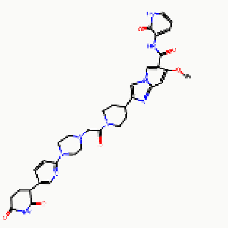 CC(C)Oc1cc2nc(C3CCN(C(=O)CN4CCN(c5ccc(C6CCC(=O)NC6=O)cn5)CC4)CC3)cn2cc1C(=O)Nc1ccc[nH]c1=O